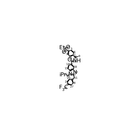 CCS(=O)(=O)c1ccc([C@@H](C)NC(=O)c2ccc3c(c2)nc(Cc2ccc(C(F)(F)F)cc2)n3CC(C)C)cc1